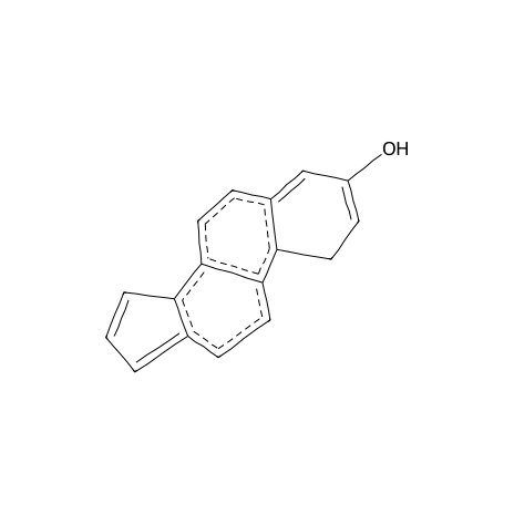 OC1=CCc2c(ccc3c4c(ccc23)=CC=C4)=C1